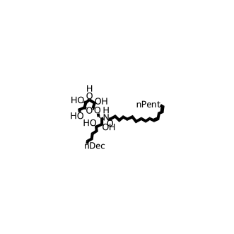 CCCCC/C=C\C/C=C\CCCCCCCCCC(=O)N[C@@H](COC1OC(CO)C(O)C(O)[C@@H]1O)[C@H](O)[C@H](O)CCCCCCCCCCCCCC